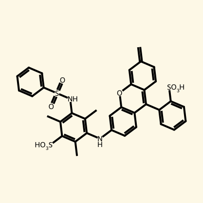 C=c1ccc2c(c1)Oc1cc(Nc3c(C)c(NS(=O)(=O)c4ccccc4)c(C)c(S(=O)(=O)O)c3C)ccc1C=2c1ccccc1S(=O)(=O)O